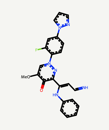 COc1cn(-c2ccc(-n3cccn3)cc2F)nc(/C(=C/C=N)Nc2ccccc2)c1=O